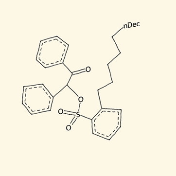 CCCCCCCCCCCCCCCc1ccccc1S(=O)(=O)OC(C(=O)c1ccccc1)c1ccccc1